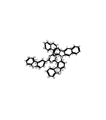 c1ccc2cc3c(cc2c1)c1ccccc1n3-c1ccc2oc3ccccc3c2c1-c1nc(-c2ccc3sc4ccccc4c3c2)nc(-c2cccc3ccccc23)n1